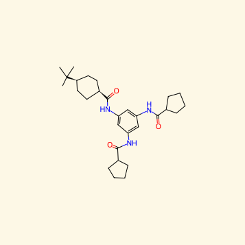 CC(C)(C)[C@H]1CC[C@@H](C(=O)Nc2cc(NC(=O)C3CCCC3)cc(NC(=O)C3CCCC3)c2)CC1